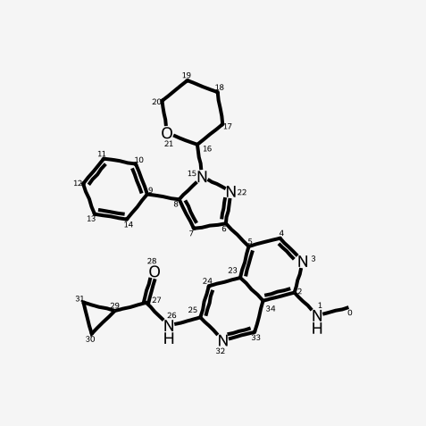 CNc1ncc(-c2cc(-c3ccccc3)n(C3CCCCO3)n2)c2cc(NC(=O)C3CC3)ncc12